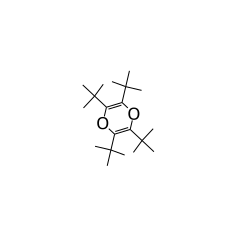 CC(C)(C)C1=C(C(C)(C)C)OC(C(C)(C)C)=C(C(C)(C)C)O1